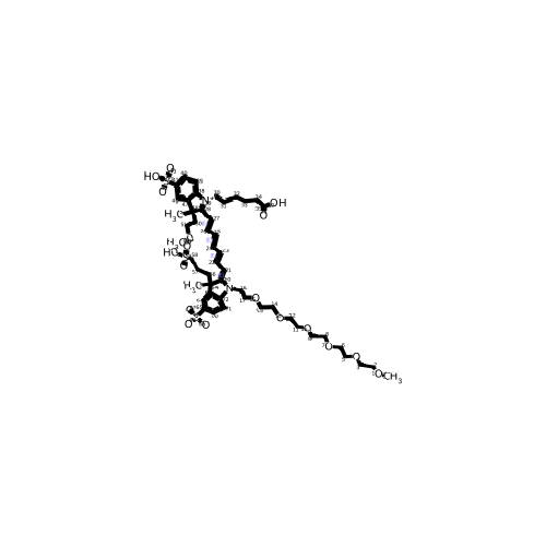 COCCOCCOCCOCCOCCOCCN1/C(=C/C=C/C=C/C=C/C2=[N+](CCCCCC(=O)O)c3ccc(S(=O)(=O)O)cc3C2(C)CCOC)C(C)(CCCS(=O)(=O)O)c2cc(S(=O)(=O)[O-])ccc21